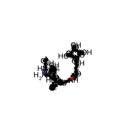 CCC(=O)NCCNC(=O)/N=C(/N)NCCC[C@@H](NC(=O)[C@H](c1ccc(OCCCNC2CCN(C(=O)CCCCCNC(=O)CN3CCN(CC(=O)O)CCN(CC(=O)O)CCN(CC(=O)O)CC3)CC2)cc1)N1Cc2ccccc2C1)C(=O)NCc1c(F)cc(O)cc1F